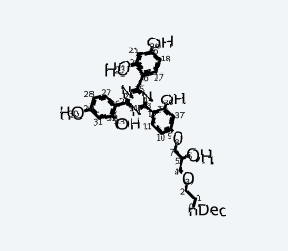 CCCCCCCCCCCCOCC(O)COc1ccc(-c2nc(-c3ccc(O)cc3O)nc(-c3ccc(O)cc3O)n2)c(O)c1